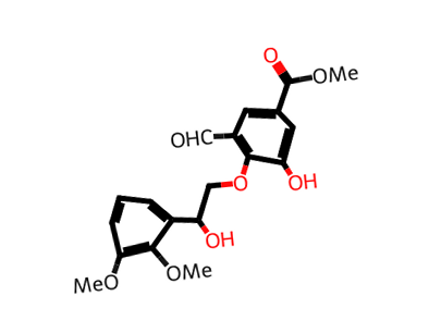 COC(=O)c1cc(O)c(OCC(O)c2cccc(OC)c2OC)c(C=O)c1